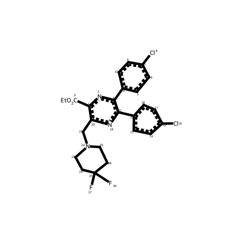 CCOC(=O)c1nc(-c2ccc(Cl)cc2)c(-c2ccc(Cl)cc2)nc1CN1CCC(F)(F)CC1